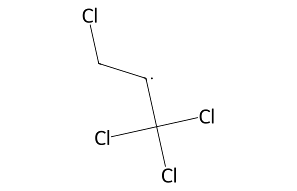 ClC[CH]C(Cl)(Cl)Cl